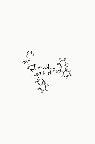 CCOC(=O)c1csc([C@@H]2C[C@@H](NC(=O)OCC3c4ccccc4-c4ccccc43)CN2C(=O)c2cn3ccccc3n2)n1